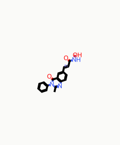 Cc1nc2ccc(/C=C/C(=O)NO)cc2c(=O)n1-c1ccccc1